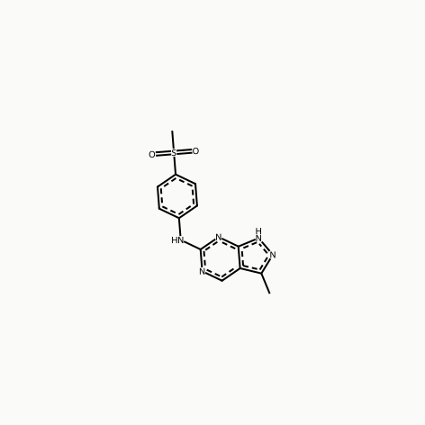 Cc1n[nH]c2nc(Nc3ccc(S(C)(=O)=O)cc3)ncc12